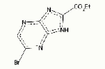 CCOC(=O)c1nc2ncc(Br)nc2[nH]1